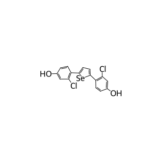 Oc1ccc(-c2ccc(-c3ccc(O)cc3Cl)[se]2)c(Cl)c1